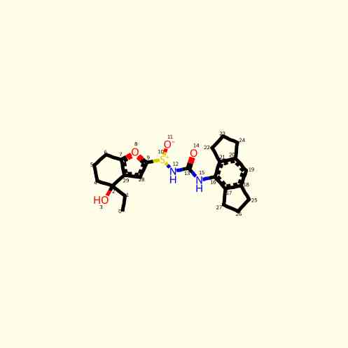 CCC1(O)CCCc2oc([S+]([O-])NC(=O)Nc3c4c(cc5c3CCC5)CCC4)cc21